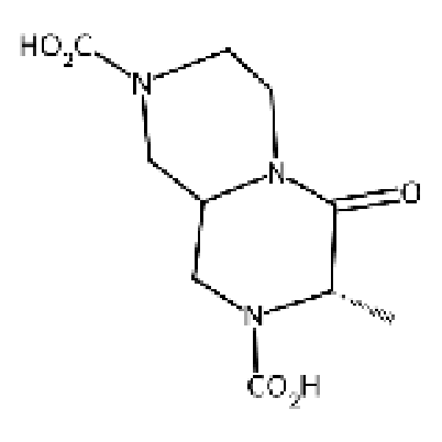 C[C@H]1C(=O)N2CCN(C(=O)O)CC2CN1C(=O)O